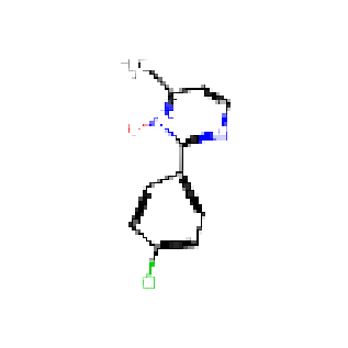 Cc1ccnc(-c2ccc(Cl)cc2)[n+]1[O-]